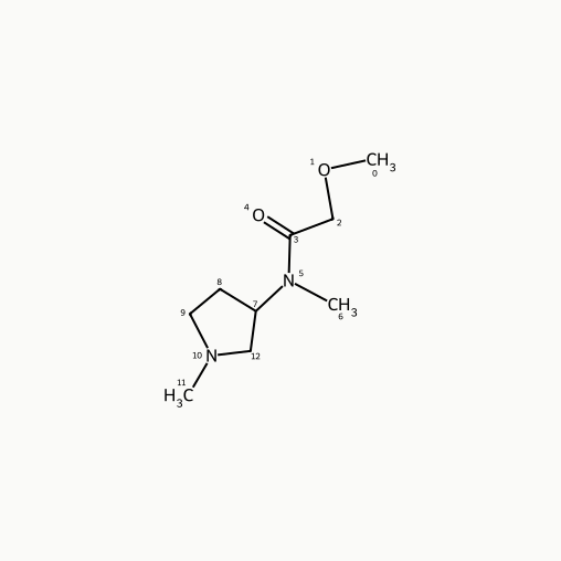 COCC(=O)N(C)C1CCN(C)C1